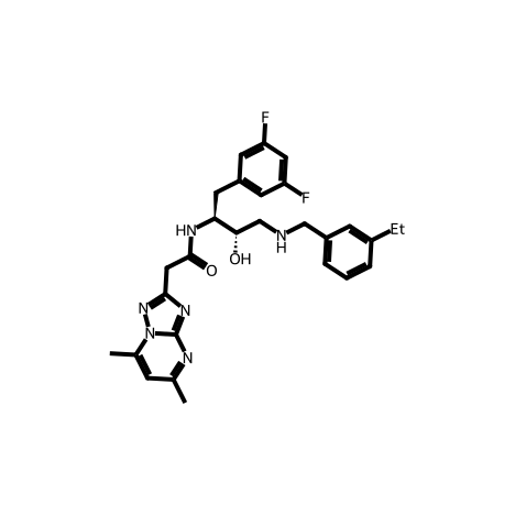 CCc1cccc(CNC[C@H](O)[C@H](Cc2cc(F)cc(F)c2)NC(=O)Cc2nc3nc(C)cc(C)n3n2)c1